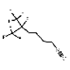 [C-]#[N+]CCCCC(F)(C(F)(F)F)C(F)(F)F